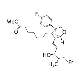 COC(=O)CCC/C=C\C[C@H]1[C@H](/C=C/[C@H](O)C(C)CC(C)C)[C@@H]2C[C@@]1(c1ccc(F)cc1)CO2